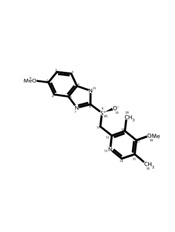 COc1ccc2c(c1)N=C([S@@+]([O-])Cc1ncc(C)c(OC)c1C)[N]2